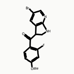 COc1ccc(C(=O)C2CNc3ncc(Br)cc32)c(F)c1